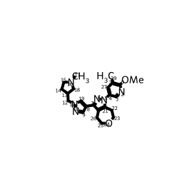 COc1ncc(-n2nc(-c3cnn(CC4CCN(C)C4)c3)c3c2CCOCC3)cc1C